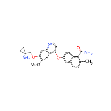 COc1cc2c(Oc3ccc4c(C(N)=O)c(C)ccc4c3)ccnc2cc1OCC1(N)CC1